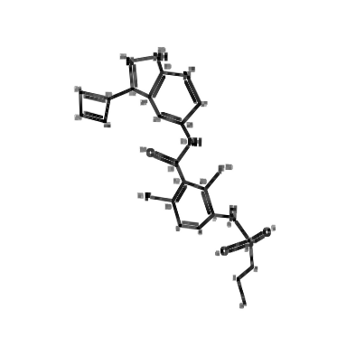 CCCS(=O)(=O)Nc1ccc(F)c(C(=O)Nc2cnc3[nH]nc(C4=CC=C4)c3c2)c1F